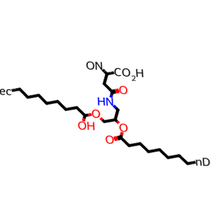 CCCCCCCCCCCCCCCCCC(=O)OC(CNC(=O)CC(N=O)C(=O)O)COC(O)CCCCCCCCCCCCCCCCC